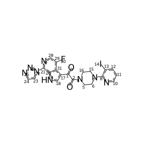 O=C(C(=O)N1CCN(c2ncccc2I)CC1)c1c[nH]c2c(-n3ccnn3)ncc(F)c12